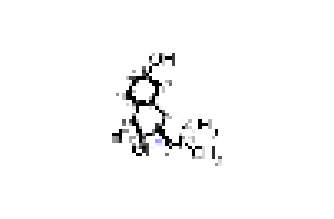 CN(C)/C=C1\Cc2nc(O)ccc2C=C1O.[H+]